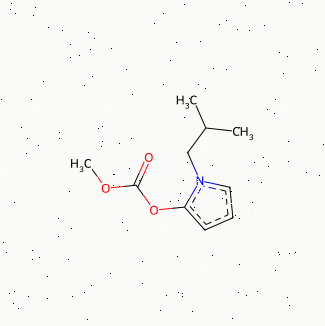 COC(=O)Oc1cccn1CC(C)C